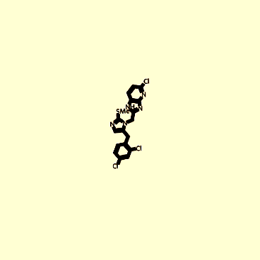 CSc1ncc(Cc2ccc(Cl)cc2Cl)n1Cc1nc2nc(Cl)ccc2[nH]1